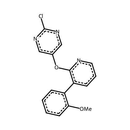 COc1ccccc1-c1cccnc1Oc1cnc(Cl)nc1